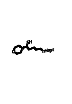 CCCCCCCCCCCC(S)N1CCOCC1